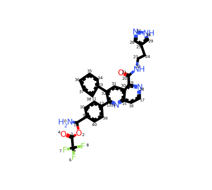 NC(OC(=O)C(F)(F)F)c1ccc(-c2nc3ccnc(C(=O)NCCc4cn[nH]c4)c3cc2-c2ccccc2)cc1